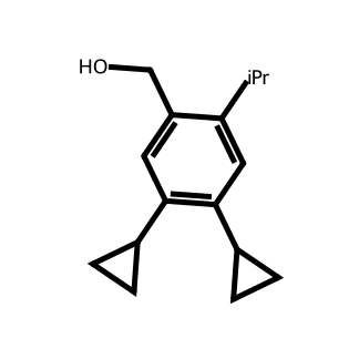 CC(C)c1cc(C2CC2)c(C2CC2)cc1CO